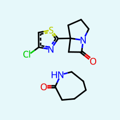 O=C1CC2(c3nc(Cl)cs3)CCCN12.O=C1CCCCCN1